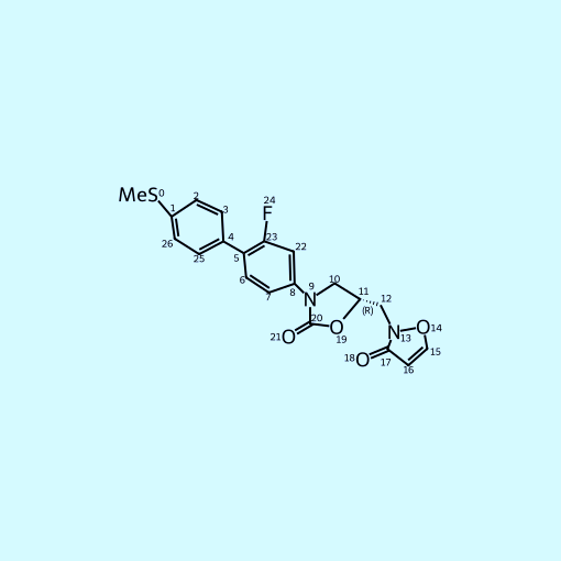 CSc1ccc(-c2ccc(N3C[C@H](Cn4occc4=O)OC3=O)cc2F)cc1